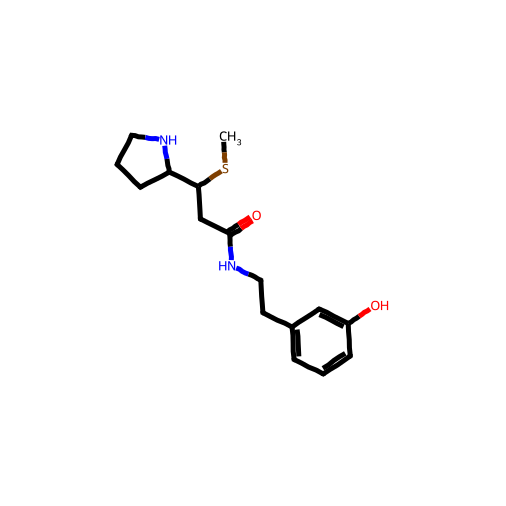 CSC(CC(=O)NCCc1cccc(O)c1)C1CCCN1